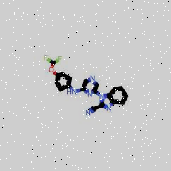 N#Cc1nc2ccccc2n1-c1cncc(Nc2ccc(OC(F)F)cc2)n1